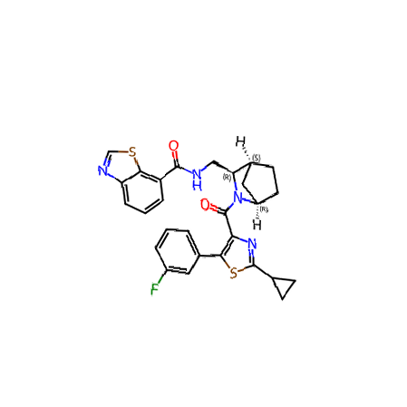 O=C(NC[C@H]1[C@H]2CC[C@H](C2)N1C(=O)c1nc(C2CC2)sc1-c1cccc(F)c1)c1cccc2ncsc12